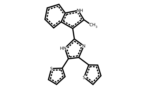 Cc1[nH]c2ccccc2c1-c1nc(-c2cccs2)c(-c2cccs2)[nH]1